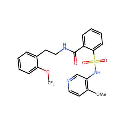 COc1ccncc1NS(=O)(=O)c1ccccc1C(=O)NCCc1ccccc1OC(F)(F)F